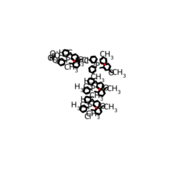 COc1cccc(C[P+](c2cccc(C)c2)(c2cccc(C)c2)c2cccc(C)c2)c1.COc1cccc(C[P+](c2ccccc2C)(c2ccccc2C)c2ccccc2C)c1.COc1cccc(C[P+](c2ccccc2C)(c2ccccc2C)c2ccccc2C)c1.COc1cccc(C[P+](c2ccccc2C)(c2ccccc2C)c2ccccc2C)c1.O=P([O-])([O-])[O-].[Cl-]